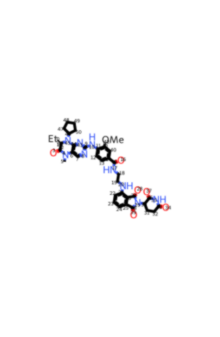 CC[C@@H]1C(=O)N(C)c2cnc(Nc3ccc(C(=O)NCCNc4cccc5c4C(=O)N(C4CCC(=O)NC4=O)C5=O)cc3OC)nc2N1C1CCCC1